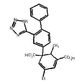 CCC1=CC(C(=O)O)(c2ccc(-c3ccccc3)c(-c3nnn[nH]3)c2)C(C)C(C(=O)O)=C1